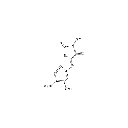 CCCN1C(=O)S/C(=C\c2ccc(OC)c(OC)c2)C1=O